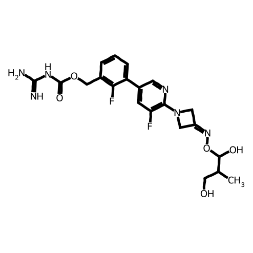 CC(CO)C(O)ON=C1CN(c2ncc(-c3cccc(COC(=O)NC(=N)N)c3F)cc2F)C1